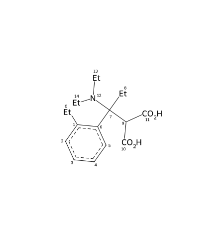 CCc1ccccc1C(CC)(C(C(=O)O)C(=O)O)N(CC)CC